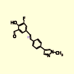 Cn1cc(-c2ccc(/C=C/c3cc(F)c(O)c(C=O)c3)cc2)cn1